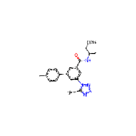 CCCc1nnnn1-c1cc(C(=O)NC(C)COC)cc(-c2ccc(C)cc2)c1